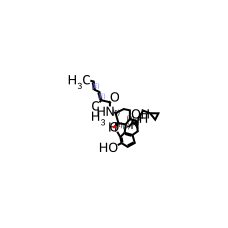 C/C=C/C=C(\C)C(=O)N[C@H]1CC[C@@]2(O)[C@H]3Cc4ccc(O)c5c4[C@@]2(CCN3CC2CC2)[C@H]1O5